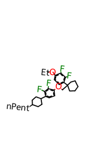 CCCCCC1CCC(c2ccc(OCC3(c4ccc(OCC)c(F)c4F)CCCCC3)c(F)c2F)CC1